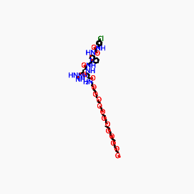 COCCOCCOCCOCCOCCOCCOCCOCCOCCOCCOCCOCCNC(=O)CCC(=O)N[C@@H](CCCNC(=N)N)C(=O)NCCN1CCC(NC(=O)C(=O)Nc2ccc(Cl)cc2)CC12CCCCC2